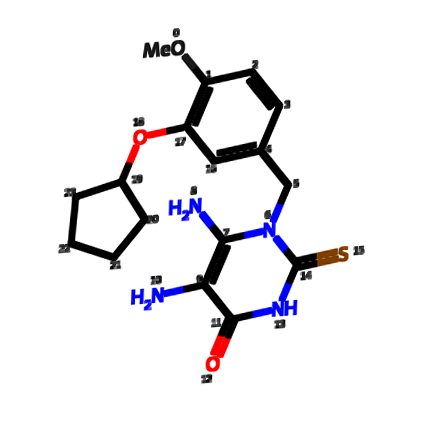 COc1ccc(Cn2c(N)c(N)c(=O)[nH]c2=S)cc1OC1CCCC1